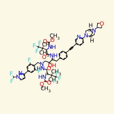 COC(=O)NC(C(=O)N[C@@H](Cc1ccc(C#Cc2ccc(N3C[C@@H]4C[C@H]3CN4C3COC3)nc2)cc1)[C@@H](O)CN(Cc1c(F)cc(-c2ccn(C(F)F)n2)cc1F)NC(=O)[C@@H](NC(=O)OC)C(C)(C)C(F)(F)F)C(C)(C)C(F)(F)F